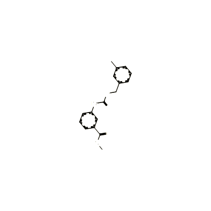 CNC(=O)c1cccc(NC(=O)OCc2cccc(C)c2)c1